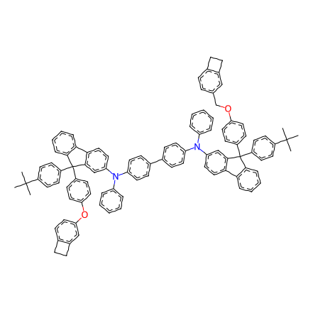 CC(C)(C)c1ccc(C2(c3ccc(OCc4ccc5c(c4)CC5)cc3)c3ccccc3-c3ccc(N(c4ccccc4)c4ccc(-c5ccc(N(c6ccccc6)c6ccc7c(c6)C(c6ccc(Oc8ccc9c(c8)CC9)cc6)(c6ccc(C(C)(C)C)cc6)c6ccccc6-7)cc5)cc4)cc32)cc1